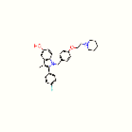 Cc1c(-c2ccc(F)cc2)n(Cc2ccc(OCCN3CCCCC3)cc2)c2ccc(O)cc12